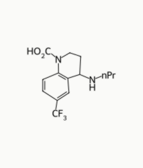 CCCNC1CCN(C(=O)O)c2ccc(C(F)(F)F)cc21